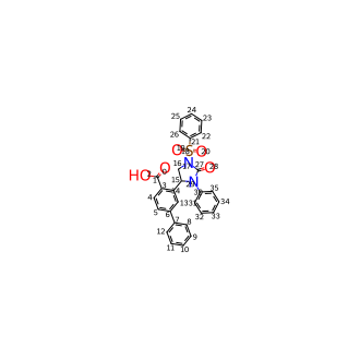 O=C(O)c1ccc(-c2ccccc2)cc1C1CN(S(=O)(=O)c2ccccc2)C(=O)N1c1ccccc1